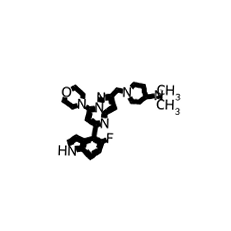 CN(C)C1CCN(Cc2cc3nc(-c4c(F)ccc5[nH]ccc45)cc(N4CCOCC4)n3n2)CC1